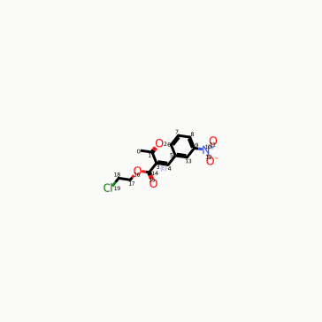 CC(=O)/C(=C\c1cccc([N+](=O)[O-])c1)C(=O)OCCCl